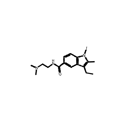 CCc1c(C)n(I)c2ccc(C(=O)NCCN(C)C)cc12